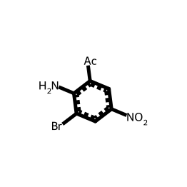 CC(=O)c1cc([N+](=O)[O-])cc(Br)c1N